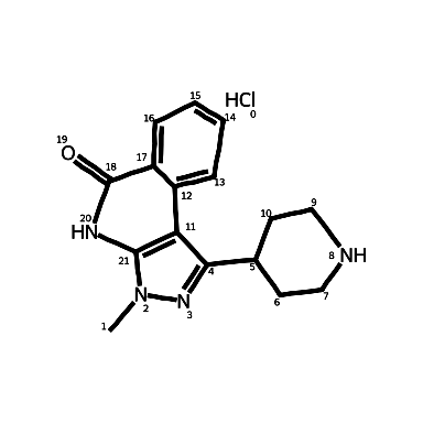 Cl.Cn1nc(C2CCNCC2)c2c3ccccc3c(=O)[nH]c21